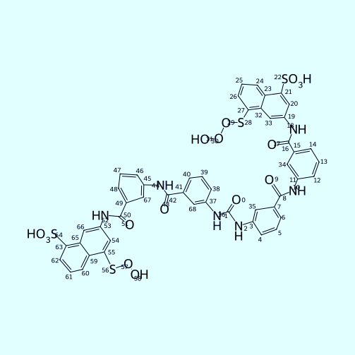 O=C(Nc1cccc(C(=O)Nc2cccc(C(=O)Nc3cc(S(=O)(=O)O)c4cccc(SOOO)c4c3)c2)c1)Nc1cccc(C(=O)Nc2cccc(C(=O)Nc3cc(SOO)c4cccc(S(=O)(=O)O)c4c3)c2)c1